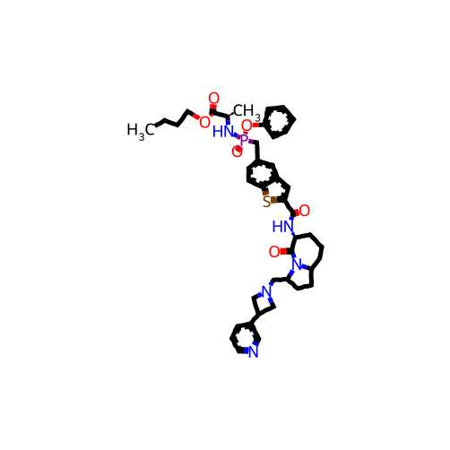 CCCCOC(=O)[C@H](C)NP(=O)(Cc1ccc2sc(C(=O)N[C@H]3CCCC4CCC(CN5CC(c6cccnc6)C5)N4C3=O)cc2c1)Oc1ccccc1